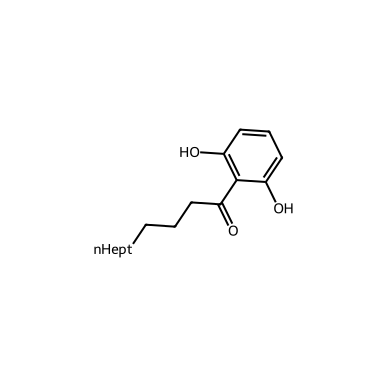 CCCCCCCCCCC(=O)c1c(O)cccc1O